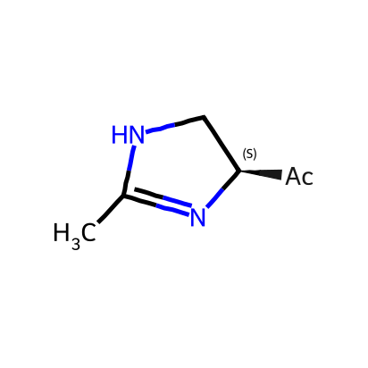 CC(=O)[C@@H]1CNC(C)=N1